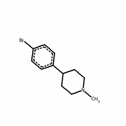 CN1CCC(c2ccc(Br)cc2)CC1